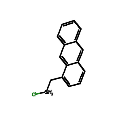 Cl[SiH2]Cc1cccc2cc3ccccc3cc12